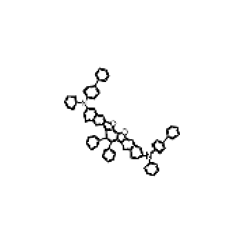 c1ccc(-c2ccc(N(c3ccccc3)c3ccc4cc5c(cc4c3)oc3c4oc6cc7cc(N(c8ccccc8)c8ccc(-c9ccccc9)cc8)ccc7cc6c4c(-c4ccccc4)c(-c4ccccc4)c53)cc2)cc1